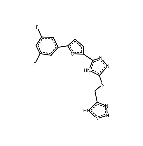 Fc1cc(F)cc(-c2ccc(-c3nnc(SCc4nnn[nH]4)[nH]3)o2)c1